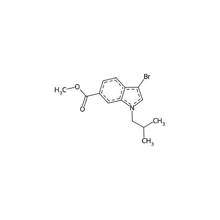 COC(=O)c1ccc2c(Br)cn(CC(C)C)c2c1